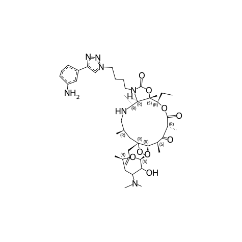 C=CC[C@@]1(OC)C[C@@H](C)CN[C@H](C)[C@H]2N(CCCCn3cc(-c4cccc(N)c4)nn3)C(=O)O[C@]2(C)[C@@H](CC)OC(=O)[C@H](C)C(=O)[C@@H](C)[C@H]1O[C@@H]1O[C@H](C)CC(N(C)C)C1O